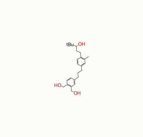 Cc1cc(CCCc2ccc(CO)c(CO)c2)ccc1CCC(O)C(C)(C)C